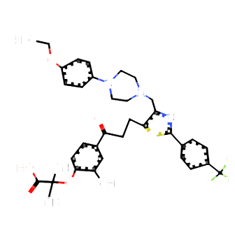 CCOc1ccc(N2CCN(Cc3nc(-c4ccc(C(F)(F)F)cc4)sc3CCC(=O)c3ccc(OC(C)(C)C(=O)O)c(C)c3)CC2)cc1